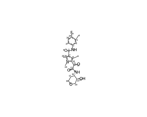 Cc1cc(NC(=O)c2c(C)c(C(=O)C(=O)N[C@H]3CCOC[C@@H]3O)n(C)c2C)ccc1F